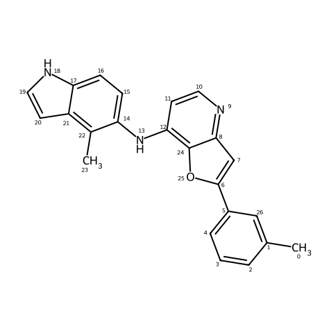 Cc1cccc(-c2cc3nccc(Nc4ccc5[nH]ccc5c4C)c3o2)c1